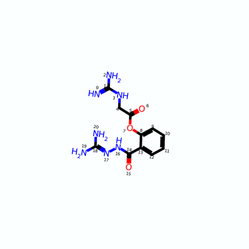 N=C(N)NCC(=O)Oc1ccccc1C(=O)NN=C(N)N